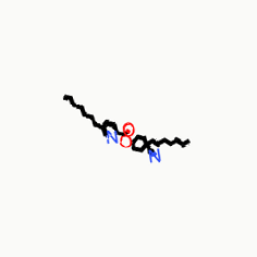 CCCCCCCc1ccc(C(=O)OC2CCC(C#N)(CCCCCCC)CC2)nc1